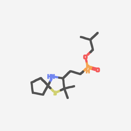 CC(C)CO[PH](=O)CCC1NC2(CCCC2)SC1(C)C